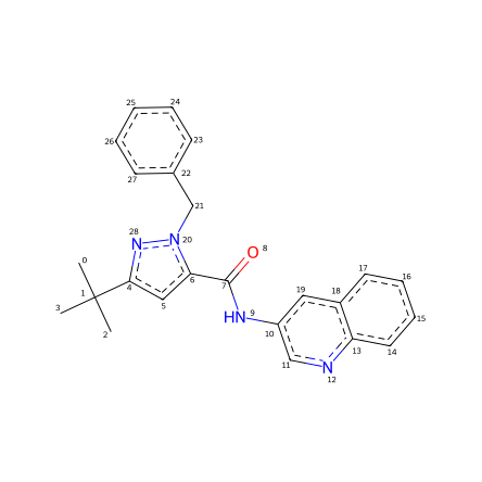 CC(C)(C)c1cc(C(=O)Nc2cnc3ccccc3c2)n(Cc2ccccc2)n1